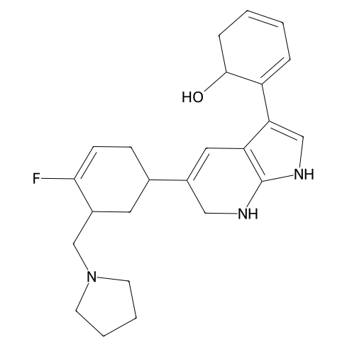 OC1CC=CC=C1c1c[nH]c2c1C=C(C1CC=C(F)C(CN3CCCC3)C1)CN2